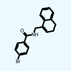 O=C(NCC1=CCCc2ccccc21)c1ccc(Br)cc1